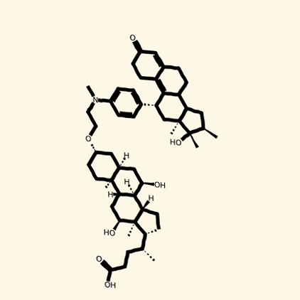 C[C@H](CCC(=O)O)[C@H]1CC[C@H]2[C@@H]3[C@H](O)C[C@@H]4C[C@@H](OCCN(C)c5ccc([C@H]6C[C@@]7(C)C(C[C@@H](C)[C@]7(C)O)C7CCC8=CC(=O)CCC8=C76)cc5)CC[C@]4(C)[C@H]3C[C@H](O)[C@]12C